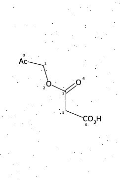 CC(=O)COC(=O)CC(=O)O